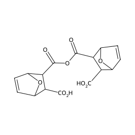 O=C(O)C1C2C=CC(O2)C1C(=O)OC(=O)C1C2C=CC(O2)C1C(=O)O